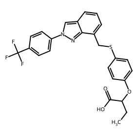 CCC(Oc1ccc(SCc2cccc3cn(-c4ccc(C(F)(F)F)cc4)nc23)cc1)C(=O)O